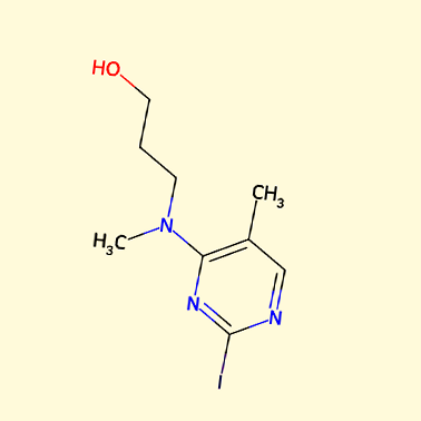 Cc1cnc(I)nc1N(C)CCCO